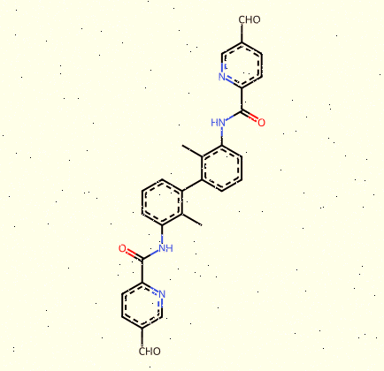 Cc1c(NC(=O)c2ccc(C=O)cn2)cccc1-c1cccc(NC(=O)c2ccc(C=O)cn2)c1C